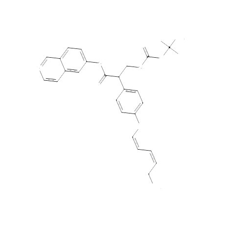 CC/C=C\C=C/Oc1ccc(C(CNC(=O)OC(C)(C)C)C(=O)Nc2ccc3cnccc3c2)cc1